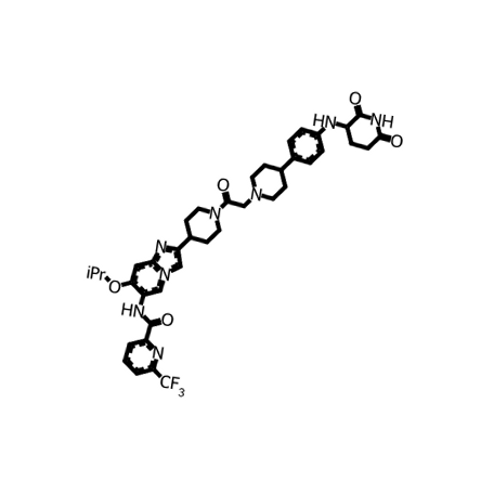 CC(C)Oc1cc2nc(C3CCN(C(=O)CN4CCC(c5ccc(NC6CCC(=O)NC6=O)cc5)CC4)CC3)cn2cc1NC(=O)c1cccc(C(F)(F)F)n1